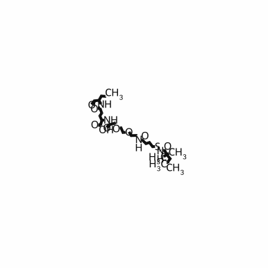 CCCC(C=O)NC(=O)CCC(NC(=O)COCCOCCNC(=O)CCCSNC(=O)C(C)(C)CC(C)C)C(=O)O